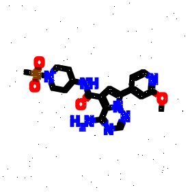 COc1cc(-c2cc(C(=O)NC3CCN(S(C)(=O)=O)CC3)c3c(N)ncnn23)ccn1